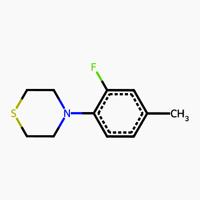 Cc1ccc(N2CCSCC2)c(F)c1